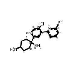 NC1CCC(N)(c2cc(-c3cccc(F)n3)c(Cl)cn2)CC1